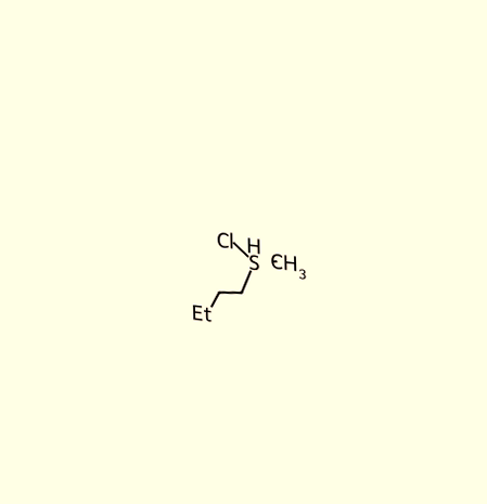 CCCC[SH](C)Cl